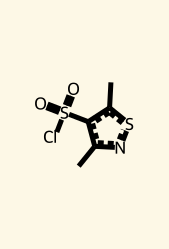 Cc1nsc(C)c1S(=O)(=O)Cl